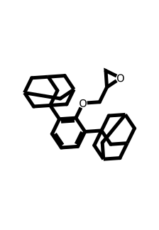 c1cc(C23CC4CC(CC(C4)C2)C3)c(OCC2CO2)c(C23CC4CC(CC(C4)C2)C3)c1